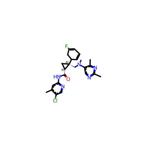 Cc1ncc(N(C)C[C@@]2(C3C=CC=C(F)C3)C[C@H]2C(=O)Nc2cc(C)c(Cl)cn2)c(C)n1